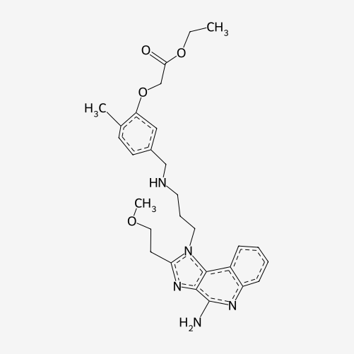 CCOC(=O)COc1cc(CNCCCn2c(CCOC)nc3c(N)nc4ccccc4c32)ccc1C